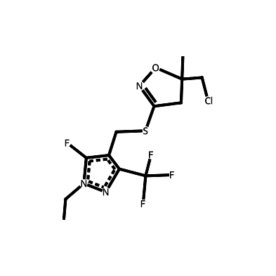 CCn1nc(C(F)(F)F)c(CSC2=NOC(C)(CCl)C2)c1F